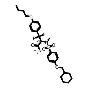 CCCCOc1ccc(C(F)(F)[C@H](C(N)=O)N(C)S(=O)(=O)c2ccc(OCC3CCCCC3)cc2)cc1